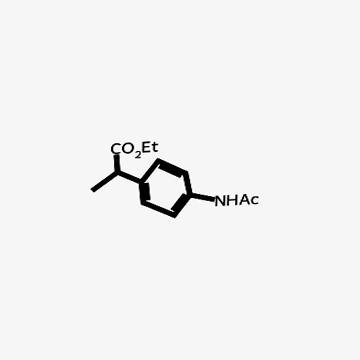 CCOC(=O)C(C)c1ccc(NC(C)=O)cc1